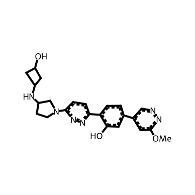 COc1cc(-c2ccc(-c3ccc(N4CCC(NC5CC(O)C5)C4)nn3)c(O)c2)cnn1